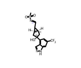 CS(=O)(=O)/N=C/C1[C@H]2C[C@](O)(c3cc(C(F)(F)F)cc4[nH]ncc34)C[C@@H]12